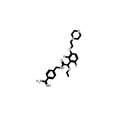 CCOC(C(=O)NCc1ccc(C(=N)N)cc1)c1c(F)ccc(OCCN2CCOCC2)c1F